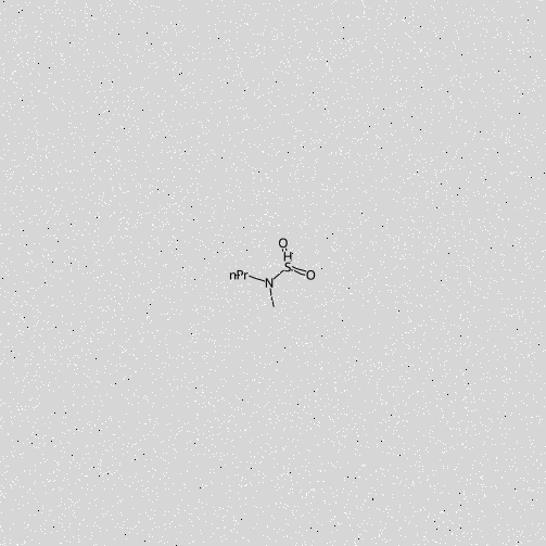 CCCN(C)[SH](=O)=O